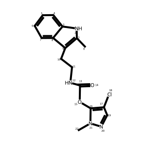 Cc1[nH]c2ccccc2c1CCNC(=O)Oc1c(Cl)cnn1C